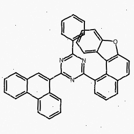 c1ccc(-c2nc(-c3cc4ccccc4c4ccccc34)nc(-c3cccc4ccc5oc6ccccc6c5c34)n2)cc1